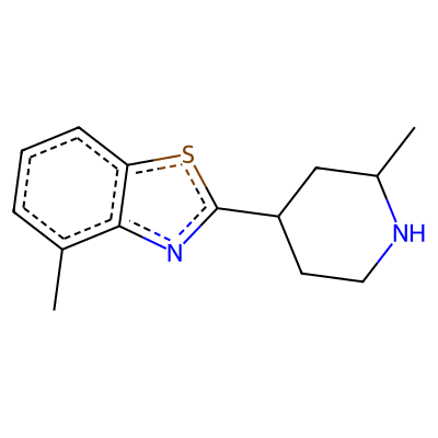 Cc1cccc2sc(C3CCNC(C)C3)nc12